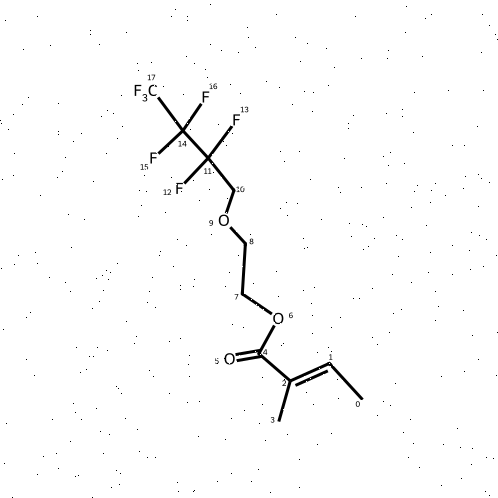 CC=C(C)C(=O)OCCOCC(F)(F)C(F)(F)C(F)(F)F